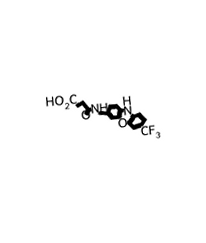 O=C(O)CCC(=O)NCc1ccc2c(c1)Oc1cc(C(F)(F)F)ccc1N2